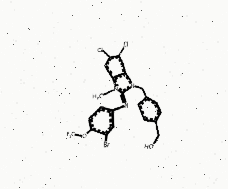 Cn1/c(=N\c2ccc(OC(F)(F)F)c(Br)c2)n(Cc2ccc(CO)cc2)c2cc(Cl)c(Cl)cc21